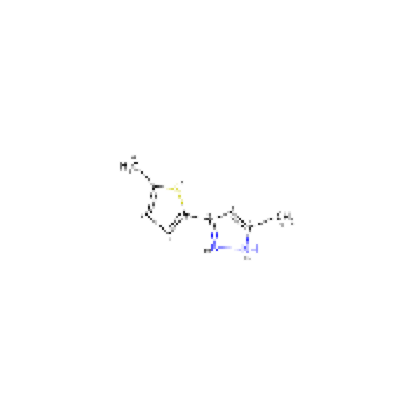 Cc1cc(-c2ccc(C)s2)n[nH]1